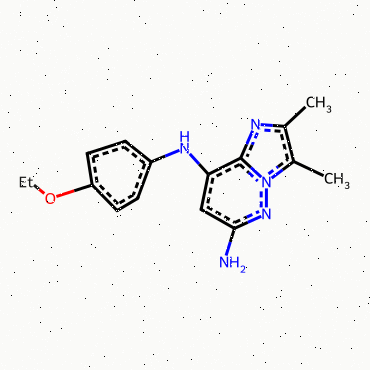 CCOc1ccc(Nc2cc(N)nn3c(C)c(C)nc23)cc1